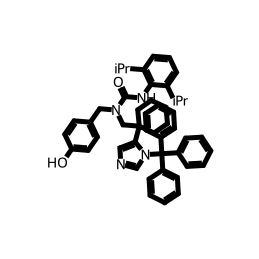 CC(C)c1cccc(C(C)C)c1NC(=O)N(Cc1ccc(O)cc1)CC1(c2cncn2C(c2ccccc2)(c2ccccc2)c2ccccc2)CCCCC1